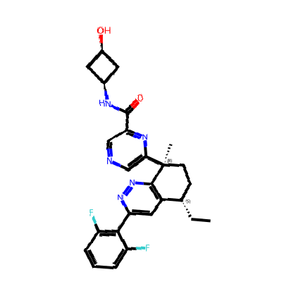 CC[C@H]1CC[C@](C)(c2cncc(C(=O)N[C@H]3C[C@@H](O)C3)n2)c2nnc(-c3c(F)cccc3F)cc21